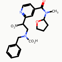 CN(C(=O)c1ccnc(C(CN(Cc2ccccc2)C(=O)O)[N+](=O)[O-])c1)C1CCCO1